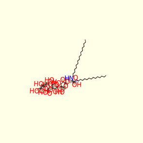 CCCCCCCCCCCCC/C=C/[C@@H](O)[C@H](CO[C@@H]1O[C@@H](CO)[C@@H](O[C@@H]2OC(CO)[C@H](O)[C@H](O[C@]3(C(=O)O)CC(O)[C@@H](C)[C@H]([C@H](O)[C@H](O)CO)O3)C2O)C(O)C1O)NC(=O)CCCCCCCCCCCCCCCCC